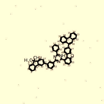 CC1(C)c2ccccc2-c2cc(-c3cccc(C4=NC(c5cccc6oc7cc(-c8cc9ccccc9c9ccccc89)ccc7c56)NC(c5ccccc5)=N4)c3)ccc21